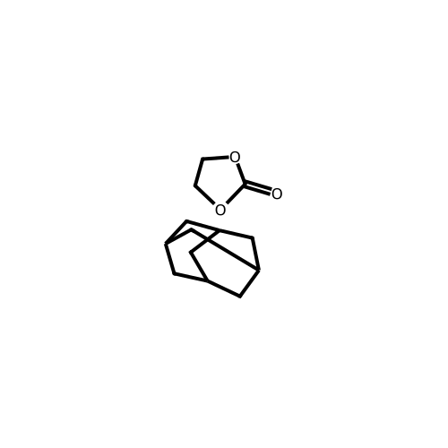 C1C2CC3CC1CC(C2)C3.O=C1OCCO1